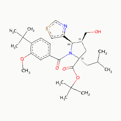 COc1cc(C(=O)N2[C@@H](c3cscn3)[C@@H](CO)C[C@@]2(CC(C)C)C(=O)OC(C)(C)C)ccc1C(C)(C)C